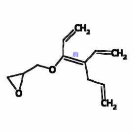 C=CC/C(C=C)=C(/C=C)OCC1CO1